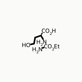 CCOC(N)=O.N[C@@H](CCO)C(=O)O